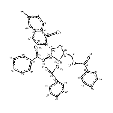 Cc1ccc2c(=O)n([C@@H]3O[C@H](COC(=O)c4ccccc4)[C@H](OC(=O)c4ccccc4)[C@H]3OC(=O)c3ccccc3)ccc2c1